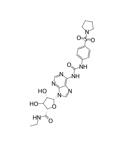 CCNC(=O)[C@H]1O[C@@H](n2cnc3c(NC(=O)Nc4ccc(S(=O)(=O)N5CCCC5)cc4)ncnc32)[C@@H](O)C1O